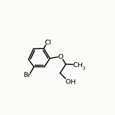 CC(CO)Oc1cc(Br)ccc1Cl